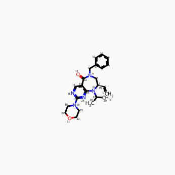 C=C[C@@H]1CN(Cc2ccccc2)C(=O)c2cnc(N3CCOCC3)nc2N1C(C)C